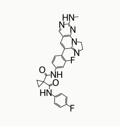 CNc1ncc2c(n1)N1CCN=C1C(c1ccc(NC(=O)C3(C(=O)Nc4ccc(F)cc4)CC3)cc1F)=C2